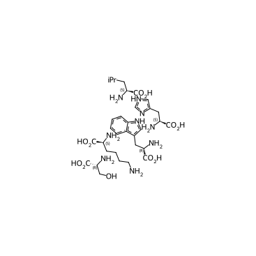 CC(C)C[C@H](N)C(=O)O.NCCCC[C@H](N)C(=O)O.N[C@@H](Cc1c[nH]cn1)C(=O)O.N[C@H](CO)C(=O)O.N[C@H](Cc1c[nH]c2ccccc12)C(=O)O